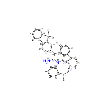 C=C1/C=c2/cccc/c2=C/N(C(N)C(c2ccc3c(c2)C(C)(C)c2ccccc2-3)c2ccccc2C)c2ccccc21